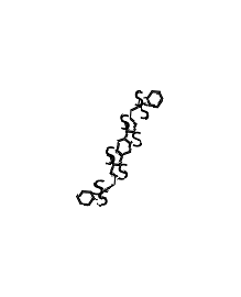 C(=C1Sc2ccccc2S1)c1cc2sc3cc4c(cc3c2s1)sc1cc(C=C2Sc3ccccc3S2)sc14